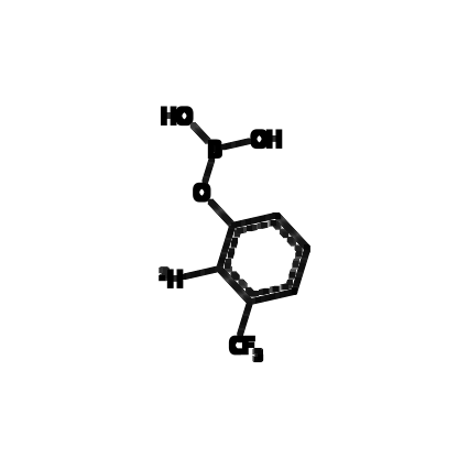 [2H]c1c(OB(O)O)cccc1C(F)(F)F